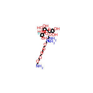 NCCOCCOCCOCCOCCOCCN(N)/C=C(\N)COC1c2c(O)cc(O)cc2OC(c2cc(O)c(O)c(O)c2)C1OC(=O)c1cc(O)cc(F)c1